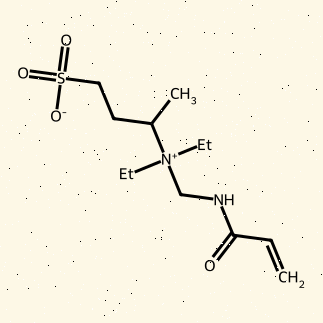 C=CC(=O)NC[N+](CC)(CC)C(C)CCS(=O)(=O)[O-]